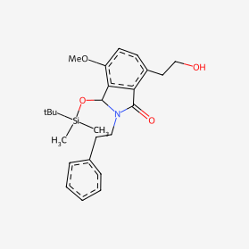 COc1ccc(CCO)c2c1C(O[Si](C)(C)C(C)(C)C)N(CCc1ccccc1)C2=O